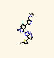 Cc1ccc(-c2ccnc3[nH]c(-c4n[nH]c5cc(F)c(-c6cncc(CN(C)C)c6)cc45)nc23)s1